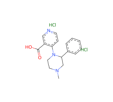 CN1CCN(c2ccncc2C(=O)O)C(c2ccccc2)C1.Cl.Cl